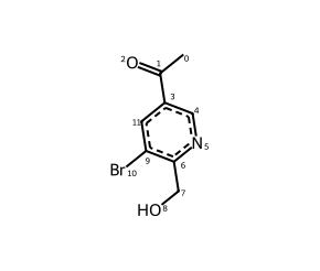 CC(=O)c1cnc(CO)c(Br)c1